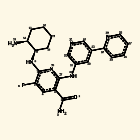 NC(=O)c1cc(F)c(N[C@@H]2CCCC[C@@H]2N)nc1Nc1cncc(-c2ccccn2)c1